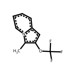 Cc1c(OC(F)(F)F)cc2ccccn12